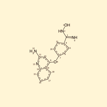 N=C(NO)c1ccc(Oc2cc(N)nc3ccccc23)cc1